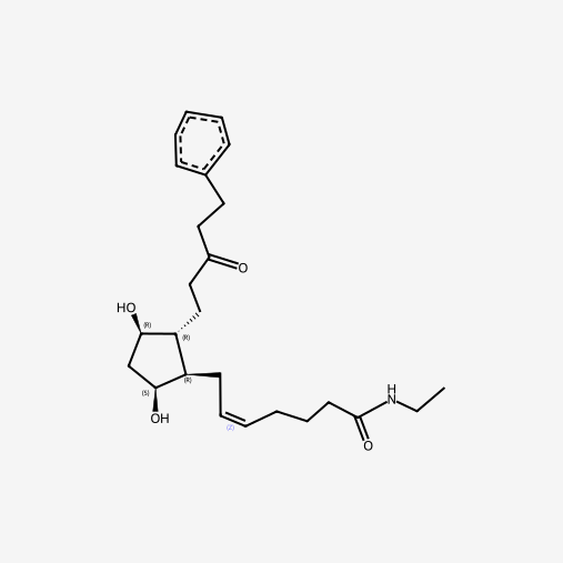 CCNC(=O)CCC/C=C\C[C@@H]1[C@@H](CCC(=O)CCc2ccccc2)[C@H](O)C[C@@H]1O